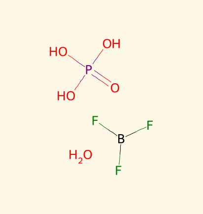 FB(F)F.O.O=P(O)(O)O